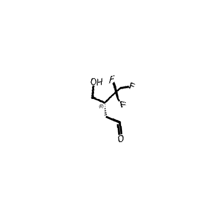 O=CC[C@H](CO)C(F)(F)F